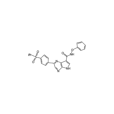 CC(C)S(=O)(=O)c1ccc(-c2cnc3[nH]cc(C(=O)NOc4ccccc4)c3n2)cc1